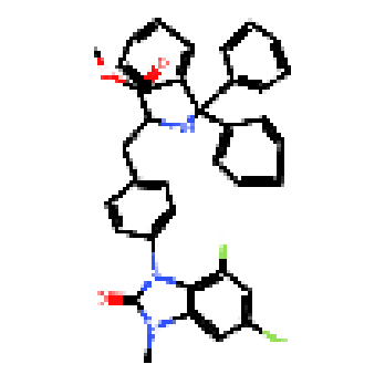 COC(=O)C(Cc1ccc(-n2c(=O)n(C)c3cc(F)cc(F)c32)cc1)NC(c1ccccc1)(c1ccccc1)c1ccccc1